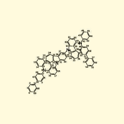 c1ccc(-c2ccc(N(c3ccccc3)c3cccc4c3c3cccc5c6cc7c(cc6n4c53)c3cccc4c5c(N(c6ccccc6)c6ccc(-c8ccccc8)cc6)cccc5n7c34)cc2)cc1